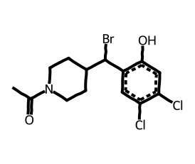 CC(=O)N1CCC(C(Br)c2cc(Cl)c(Cl)cc2O)CC1